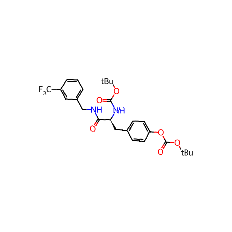 CC(C)(C)OC(=O)N[C@@H](Cc1ccc(OC(=O)OC(C)(C)C)cc1)C(=O)NCc1cccc(C(F)(F)F)c1